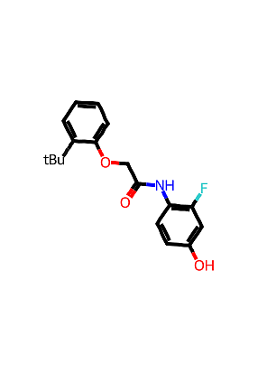 CC(C)(C)c1ccccc1OCC(=O)Nc1ccc(O)cc1F